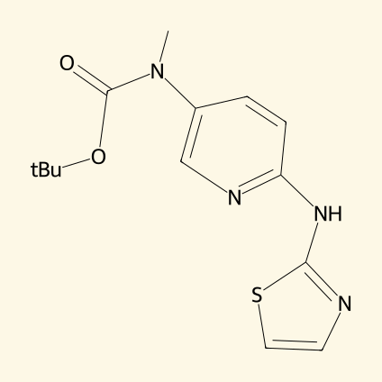 CN(C(=O)OC(C)(C)C)c1ccc(Nc2nccs2)nc1